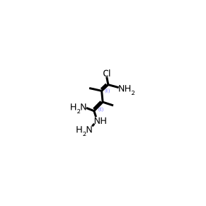 CC(=C(/N)Cl)/C(C)=C(\N)NN